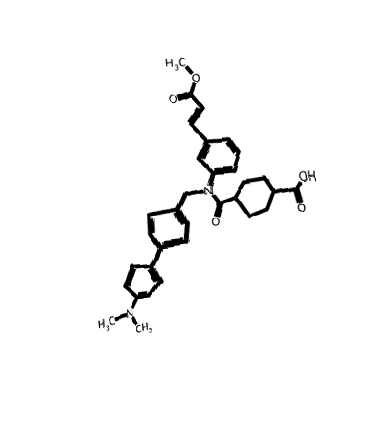 COC(=O)C=Cc1cccc(N(Cc2ccc(-c3ccc(N(C)C)cc3)cc2)C(=O)C2CCC(C(=O)O)CC2)c1